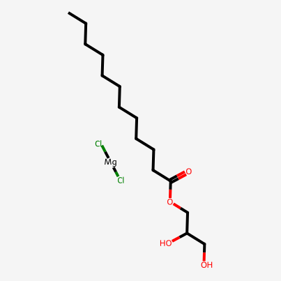 CCCCCCCCCCCC(=O)OCC(O)CO.[Cl][Mg][Cl]